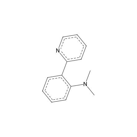 CN(C)c1ccccc1-c1ccccn1